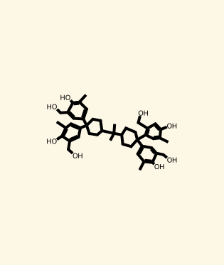 Cc1cc(C2(c3cc(C)c(O)c(CO)c3)CCC(C(C)(C)C3CCC(c4cc(C)c(O)c(CO)c4)(c4cc(C)c(O)c(CO)c4)CC3)CC2)c(CO)cc1O